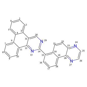 c1ccc2c(c1)c1ccccc1c1nc(-c3cccc4c3ccc3nccnc34)ncc21